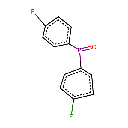 O=[P](c1ccc(F)cc1)c1ccc(F)cc1